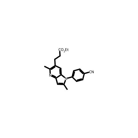 CCOC(=O)CCc1cc2c(cc(C)n2-c2ccc(C#N)cc2)nc1C